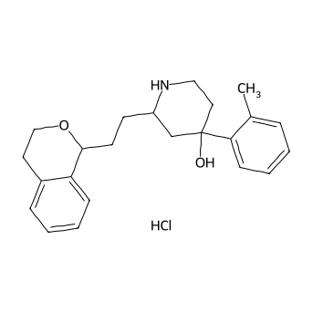 Cc1ccccc1C1(O)CCNC(CCC2OCCc3ccccc32)C1.Cl